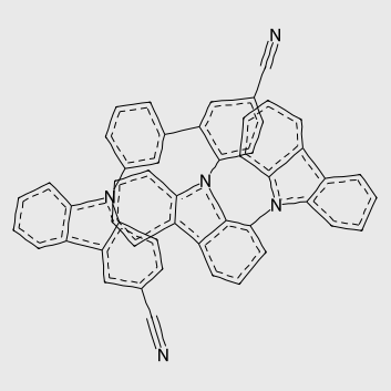 N#Cc1ccc(-n2c3ccccc3c3cccc(-n4c5ccccc5c5ccccc54)c32)c(-c2cccc(-n3c4ccccc4c4cc(C#N)ccc43)c2)c1